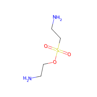 NCCOS(=O)(=O)CCN